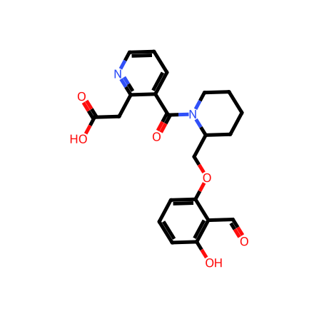 O=Cc1c(O)cccc1OCC1CCCCN1C(=O)c1cccnc1CC(=O)O